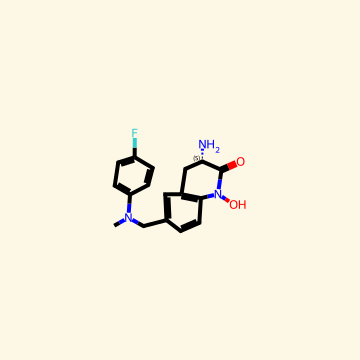 CN(Cc1ccc2c(c1)C[C@H](N)C(=O)N2O)c1ccc(F)cc1